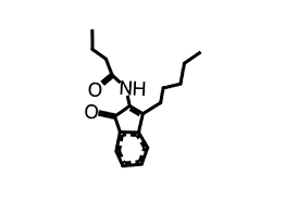 CCCCCC1=C(NC(=O)CCC)C(=O)c2ccccc21